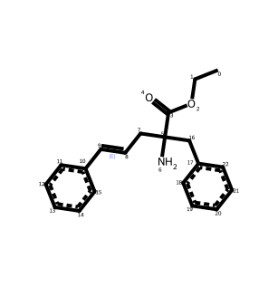 CCOC(=O)C(N)(C/C=C/c1ccccc1)Cc1ccccc1